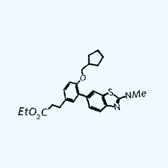 CCOC(=O)CCc1ccc(OCC2CCCC2)c(-c2ccc3nc(NC)sc3c2)c1